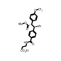 CCC[C@@H](c1ccc(C(=O)NCCC(=O)OCC)cc1)[C@H](C(=O)OC(C)(C)C)c1ccc(OC(F)(F)F)cc1